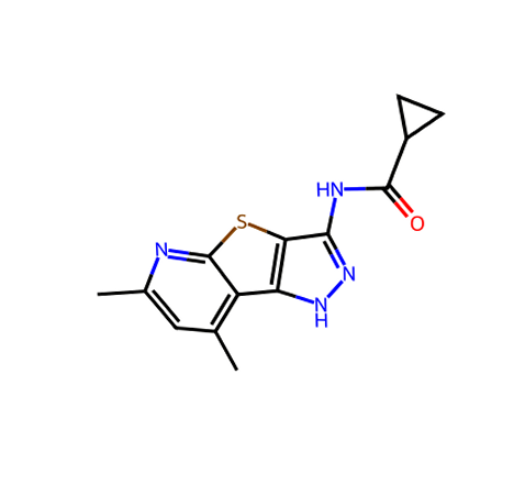 Cc1cc(C)c2c(n1)sc1c(NC(=O)C3CC3)n[nH]c12